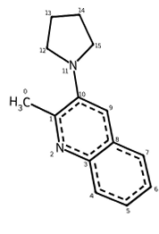 Cc1nc2ccccc2cc1N1CCCC1